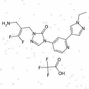 CCn1cc(-c2cc(-n3cnn(CC(CN)=C(F)F)c3=O)ccn2)cn1.O=C(O)C(F)(F)F